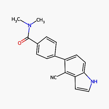 CN(C)C(=O)c1ccc(-c2ccc3[nH]ccc3c2C#N)cc1